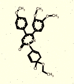 CCOC1(Cl)C=CC(n2nc(-c3ccc(OC)c(OC)c3)c(-c3ccc(OC)cc3)cc2=O)=CC1